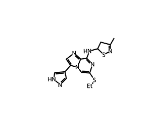 CCSc1cn2c(-c3cn[nH]c3)cnc2c(NC2CC(C)=NS2)n1